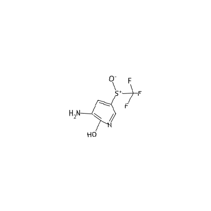 Nc1cc([S+]([O-])C(F)(F)F)cnc1O